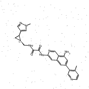 Cc1ccncc1-c1cc(N)c2cnc(NC(=O)C(=O)NC[C@H]3CC3c3cnn(C)c3)cc2c1